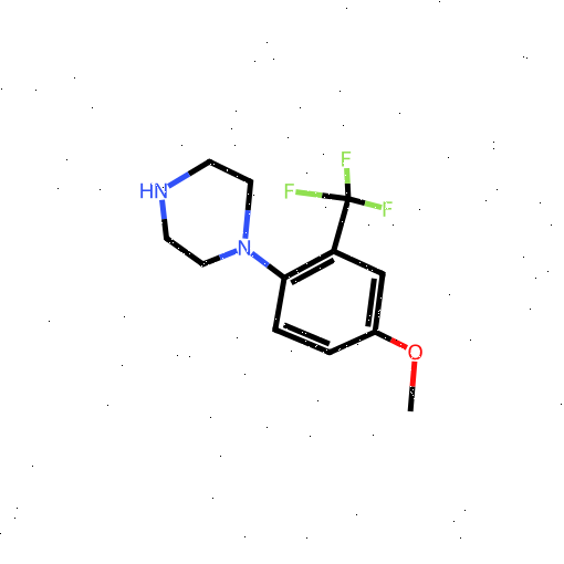 COc1ccc(N2CCNCC2)c(C(F)(F)F)c1